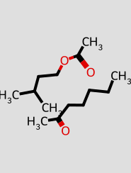 CC(=O)OCCC(C)C.CCCCCC(C)=O